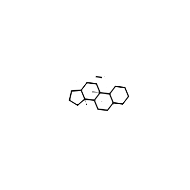 CC(C)=O.CC[C@H]1CC[C@H]2[C@@H]3CC[C@@H]4CCCC[C@]4(C)[C@H]3CC[C@]12C